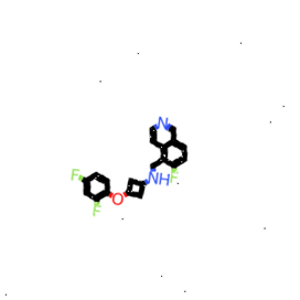 Fc1ccc(OC2CC(NCc3c(F)ccc4cnccc34)C2)c(F)c1